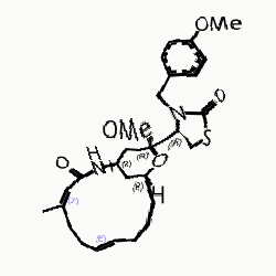 COc1ccc(CN2C(=O)SC[C@H]2[C@@]2(OC)C[C@H]3C[C@@H](CCC/C=C/CC/C(C)=C\C(=O)N3)O2)cc1